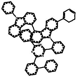 C1=CCCC(c2ccc3c4c(-c5cccc6c5c5ccccc5n6-c5ccccc5)cccc4n(-c4ccccc4-c4nc(-c5ccccc5)nc(-c5ccccc5-c5ccccc5)n4)c3c2)=C1